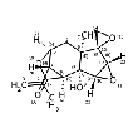 C=C(C)[C@@H]1[C@@H]2C[C@]3(C)[C@@](O)([C@H]4O[C@H]4[C@]34CO4)[C@H]1C(=O)O2